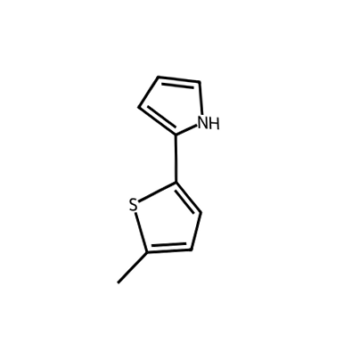 Cc1ccc(-c2ccc[nH]2)s1